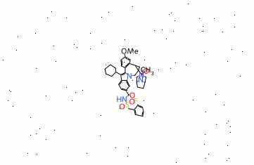 COc1ccc2c(c1)C1CC1(C(=O)N1C3CCC1CN(C)C3)Cn1c-2c(C2CCCCC2)c2ccc(C(=O)NS(=O)(=O)Cc3ccccc3F)cc21